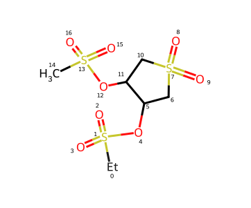 CCS(=O)(=O)OC1CS(=O)(=O)CC1OS(C)(=O)=O